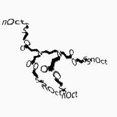 CCCCCCCCSSCCOC(=O)CCN(CCCN(CCC(=O)OCCSSCCCCCCCC)CCC(=O)OCCSSCCCCCCCC)CCC(=O)OCCSSCCCCCCCC